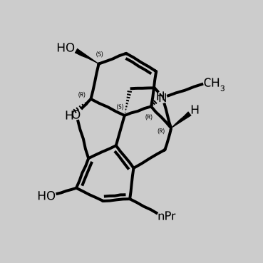 [CH2]CCc1cc(O)c2c3c1C[C@@H]1[C@@H]4C=C[C@H](O)[C@H](O2)[C@]34CCN1C